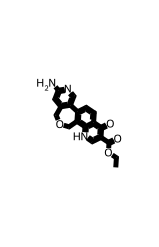 CCOC(=O)c1c[nH]c2c3c(ccc2c1=O)-c1cnc(N)cc1COC3